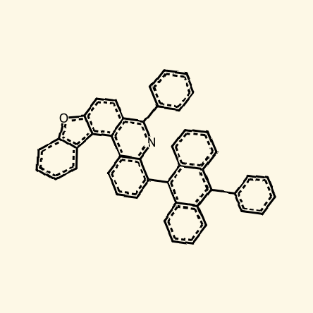 c1ccc(-c2c3ccccc3c(-c3cccc4c3nc(-c3ccccc3)c3ccc5oc6ccccc6c5c34)c3ccccc23)cc1